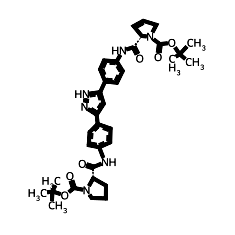 CC(C)(C)OC(=O)N1CC=C[C@H]1C(=O)Nc1ccc(-c2cc(-c3ccc(NC(=O)[C@@H]4CCCN4C(=O)OC(C)(C)C)cc3)n[nH]2)cc1